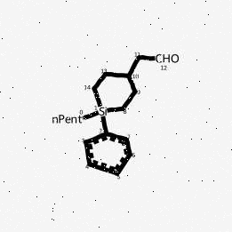 CCCCC[Si]1(c2ccccc2)CCC(CC=O)CC1